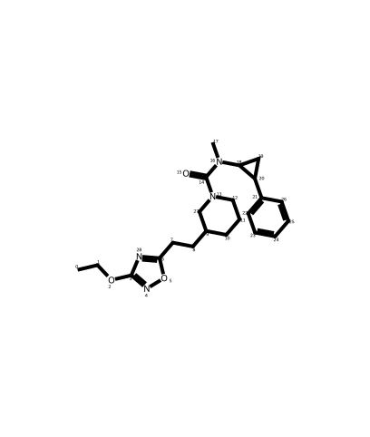 CCOc1noc(CCC2CCCN(C(=O)N(C)C3CC3c3ccccc3)C2)n1